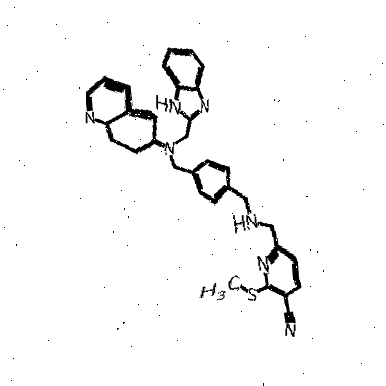 CSc1nc(CNCc2ccc(CN(Cc3nc4ccccc4[nH]3)C3C=C4C=CC=NC4CC3)cc2)ccc1C#N